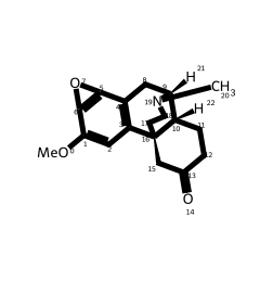 COc1cc2c(c3c1O3)C[C@@H]1[C@@H]3CCC(=O)C[C@]23CCN1C